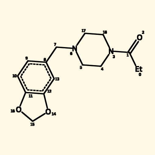 CCC(=O)N1CCN(Cc2ccc3c(c2)OCO3)CC1